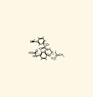 CN(C)C[C@H]1CN(S(=O)(=O)c2cccc(C#N)c2)c2cc(NC(=O)O)ccc2O1